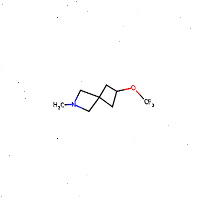 CN1CC2(CC(OC(F)(F)F)C2)C1